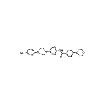 N#Cc1ccc(N2CCN(c3ccc(NC(=O)c4ccc(N5CCOCC5)cc4)cc3)CC2)cc1